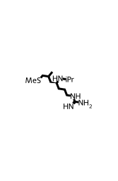 CSCC(C)C[C@H](CCCNC(=N)N)NC(C)C